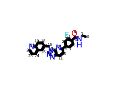 CCNC(=O)c1ccc(-c2ccc3nnn(Cc4ccc5ncccc5c4)c3n2)cc1F